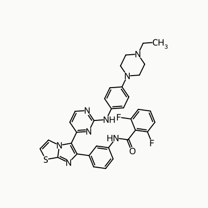 CCN1CCN(c2ccc(Nc3nccc(-c4c(-c5cccc(NC(=O)c6c(F)cccc6F)c5)nc5sccn45)n3)cc2)CC1